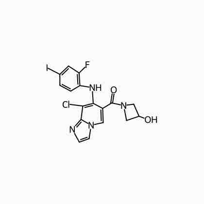 O=C(c1cn2ccnc2c(Cl)c1Nc1ccc(I)cc1F)N1CC(O)C1